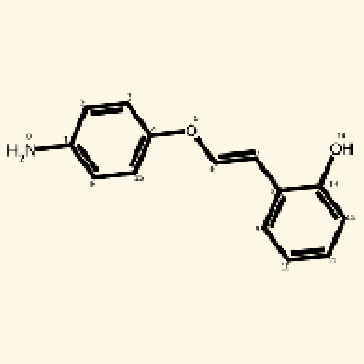 Nc1ccc(OC=Cc2ccccc2O)cc1